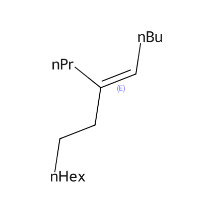 CCCC/C=C(\CCC)CCCCCCCC